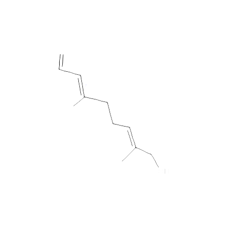 C=C/C=C(\C)CC/C=C(\C)CO